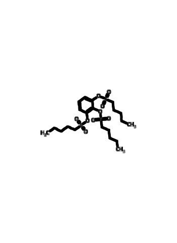 CCCCCS(=O)(=O)Oc1cccc(OS(=O)(=O)CCCCC)c1OS(=O)(=O)CCCCC